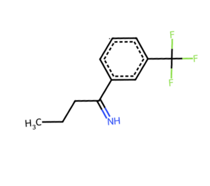 CCCC(=N)c1c[c]cc(C(F)(F)F)c1